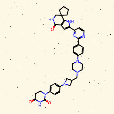 O=C1CCN(c2ccc(N3CC(CN4CCN(c5ccc(-c6nccc(-c7cc8c([nH]7)C7(CCCC7)CNC8=O)n6)cc5)CC4)C3)cc2)C(=O)N1